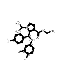 CCOC(=O)c1ccn(C(C)C)c1C(Nc1ccc(F)c(Cl)c1)c1ccc(C)cc1